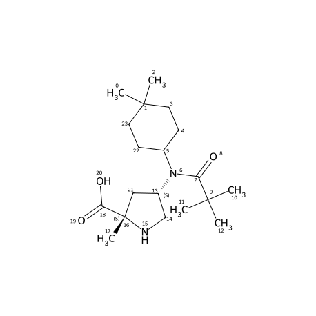 CC1(C)CCC(N(C(=O)C(C)(C)C)[C@@H]2CN[C@](C)(C(=O)O)C2)CC1